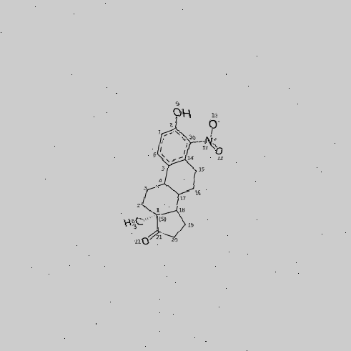 C[C@]12CCC3c4ccc(O)c([N+](=O)[O-])c4CCC3C1CCC2=O